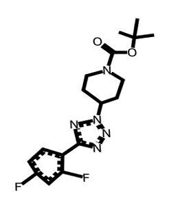 CC(C)(C)OC(=O)N1CCC(n2nnc(-c3ccc(F)cc3F)n2)CC1